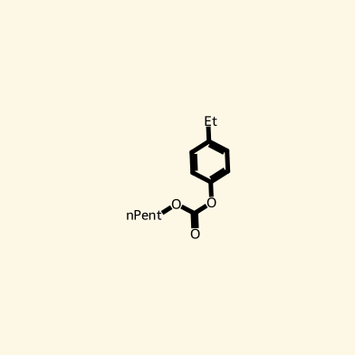 CCCCCOC(=O)Oc1ccc(CC)cc1